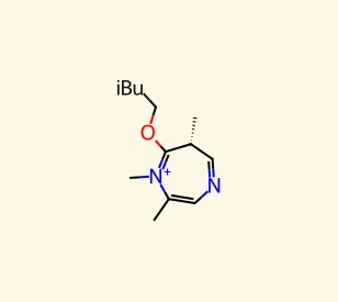 CCC(C)COC1=[N+](C)C(C)=CN=C[C@H]1C